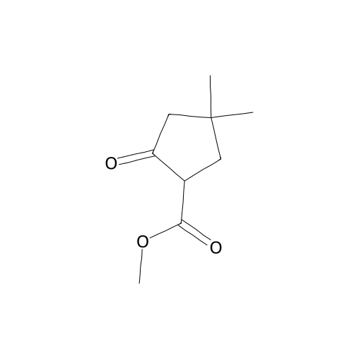 COC(=O)C1CC(C)(C)CC1=O